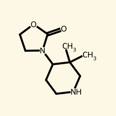 CC1(C)CNCCC1N1CCOC1=O